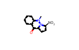 Cn1c2ccccc2c(=O)c2ccc([N+](=O)[O-])n21